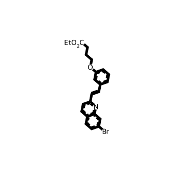 CCOC(=O)CCCOc1cccc(C=Cc2ccc3ccc(Br)cc3n2)c1